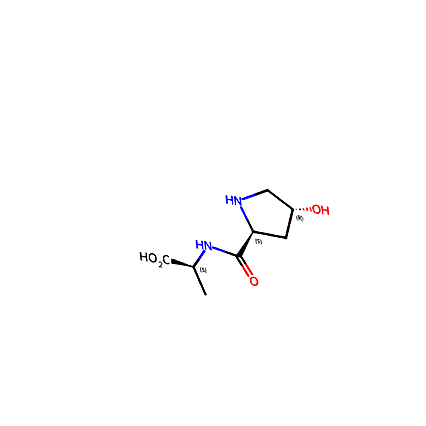 C[C@H](NC(=O)[C@@H]1C[C@@H](O)CN1)C(=O)O